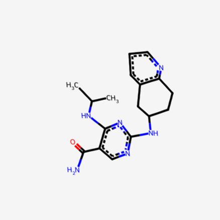 CC(C)Nc1nc(NC2CCc3ncccc3C2)ncc1C(N)=O